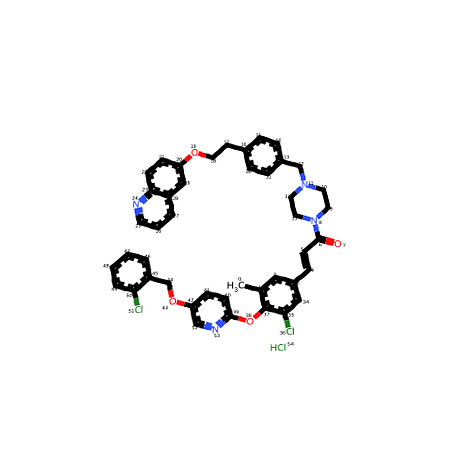 Cc1cc(/C=C/C(=O)N2CCN(Cc3ccc(CCOc4ccc5ncccc5c4)cc3)CC2)cc(Cl)c1Oc1ccc(OCc2ccccc2Cl)cn1.Cl